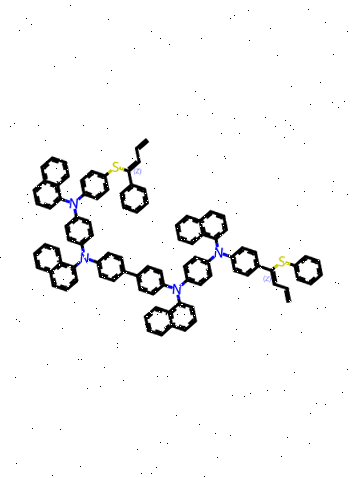 C=C/C=C(\Sc1ccc(N(c2ccc(N(c3ccc(-c4ccc(N(c5ccc(N(c6ccc(/C(=C/C=C)Sc7ccccc7)cc6)c6cccc7ccccc67)cc5)c5cccc6ccccc56)cc4)cc3)c3cccc4ccccc34)cc2)c2cccc3ccccc23)cc1)c1ccccc1